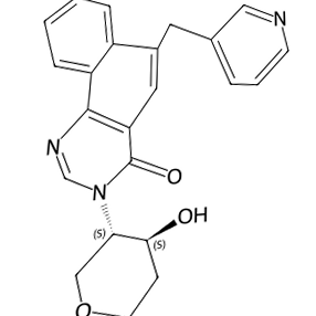 O=c1c2cc(Cc3cccnc3)c3ccccc3c2ncn1[C@H]1COCC[C@@H]1O